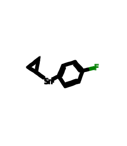 Fc1cc[c]([Sn][CH]2CC2)cc1